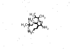 C=C/C=C1/C(N)=NN(C(C)C(C)C)/C1=N/CC(C)(C)C